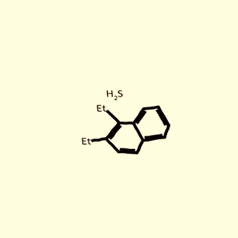 CCc1ccc2ccccc2c1CC.S